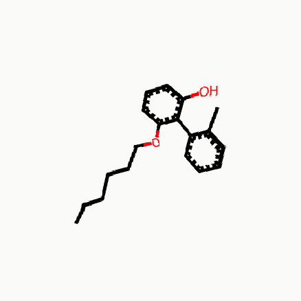 CCCCCCOc1cccc(O)c1-c1ccccc1C